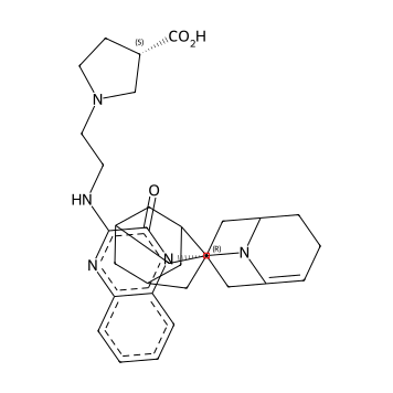 O=C(O)[C@H]1CCN(CCNc2nc3ccccc3n([C@H]3CC4=CCCC(C3)N4C34CC5CC(CC3C5)C4)c2=O)C1